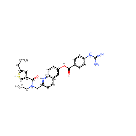 N=C(N)Nc1ccc(C(=O)Oc2ccc3nc(CN(CC(=O)O)C(=O)c4csc(CC(=O)O)c4)ccc3c2)cc1